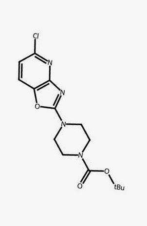 CC(C)(C)OC(=O)N1CCN(c2nc3nc(Cl)ccc3o2)CC1